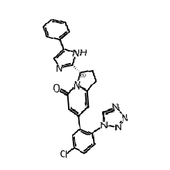 O=c1cc(-c2cc(Cl)ccc2-n2cnnn2)cc2n1[C@H](c1ncc(-c3ccccc3)[nH]1)CC2